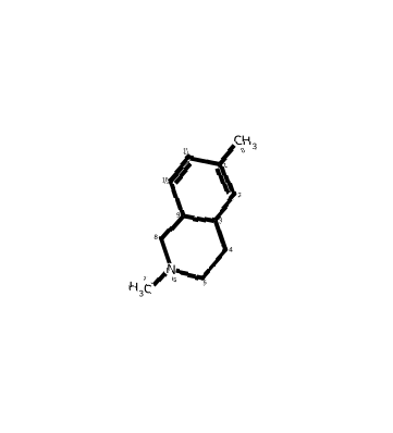 CC1=CC2CCN(C)CC2C=C1